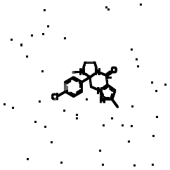 Cc1cc2n(n1)CC1(c3ccc(Cl)cc3)N(C)CCN1C2=O